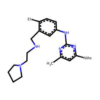 CCc1ccc(Nc2nc(C)cc(NC)n2)cc1CNCCN1CCCC1